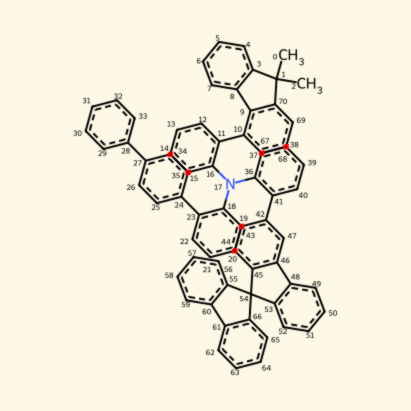 CC1(C)c2ccccc2-c2c(-c3ccccc3N(c3ccccc3-c3ccc(-c4ccccc4)cc3)c3ccccc3-c3ccc4c(c3)-c3ccccc3C43c4ccccc4-c4ccccc43)cccc21